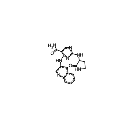 NC(=O)c1cnc(NC2CCNC2=O)nc1Nc1cnc2ccccc2c1